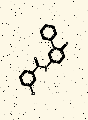 O=C(Nc1ccc(=O)n(-c2ccccc2)c1)c1cccc(Cl)c1